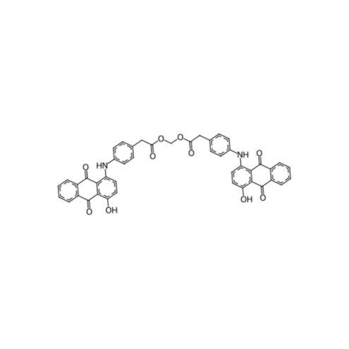 O=C(Cc1ccc(Nc2ccc(O)c3c2C(=O)c2ccccc2C3=O)cc1)OCOC(=O)Cc1ccc(Nc2ccc(O)c3c2C(=O)c2ccccc2C3=O)cc1